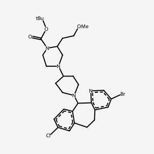 COCCC1CN(C2CCN(C3c4ccc(Cl)cc4CCc4cc(Br)cnc43)CC2)CCN1C(=O)OC(C)(C)C